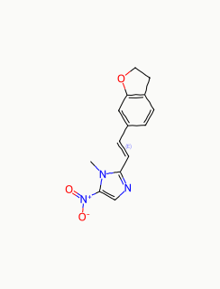 Cn1c([N+](=O)[O-])cnc1/C=C/c1ccc2c(c1)OCC2